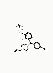 C=CCN1C[C@@H](C)N(C(c2ccc(C#N)cc2)c2cccc(O[Si](C)(C)C(C)(C)C)c2)C[C@H]1C